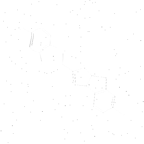 Clc1ccc(OCC2=NC3c4ccc(Cl)cc4CC3S2)c(Cl)c1